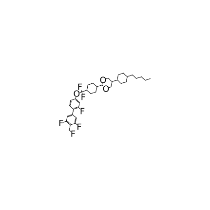 CCCCCC1CCC(C2COC(C3CCC(C(F)(F)Oc4ccc(-c5cc(F)c(CF)c(F)c5)c(F)c4)CC3)OC2)CC1